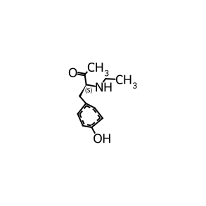 CCN[C@@H](Cc1ccc(O)cc1)C(C)=O